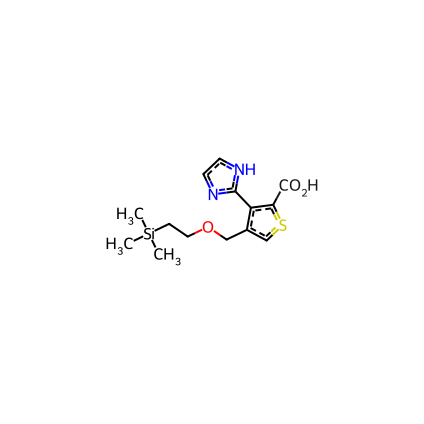 C[Si](C)(C)CCOCc1csc(C(=O)O)c1-c1ncc[nH]1